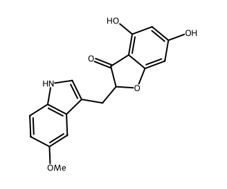 COc1ccc2[nH]cc(CC3Oc4cc(O)cc(O)c4C3=O)c2c1